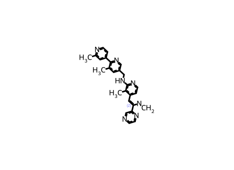 C=N/C(=C\c1ccnc(NCc2cnc(-c3ccnc(C)c3)c(C)c2)c1C)c1cnccn1